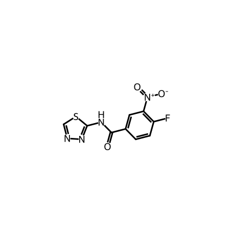 O=C(Nc1nncs1)c1ccc(F)c([N+](=O)[O-])c1